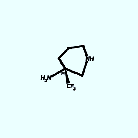 N[C@]1(C(F)(F)F)CCCNC1